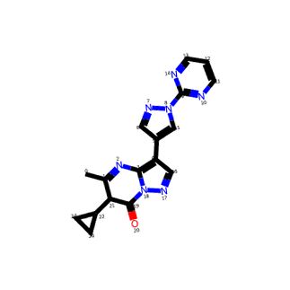 CC1=Nc2c(-c3cnn(-c4ncccn4)c3)cnn2C(=O)C1C1CC1